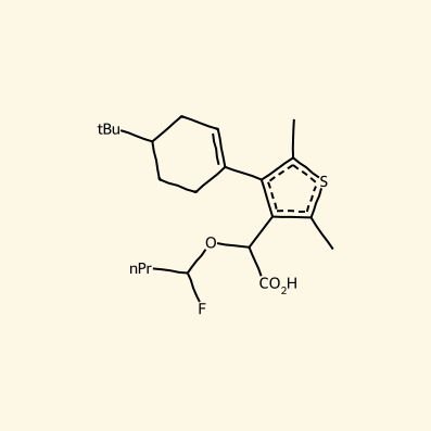 CCCC(F)OC(C(=O)O)c1c(C)sc(C)c1C1=CCC(C(C)(C)C)CC1